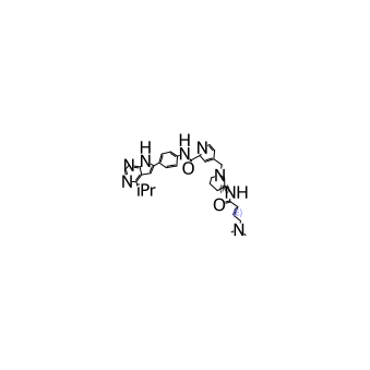 CC(C)c1ncnc2[nH]c(-c3ccc(NC(=O)c4cc(CN5CCC[C@@H](NC(=O)/C=C/CN(C)C)C5)ccn4)cc3)cc12